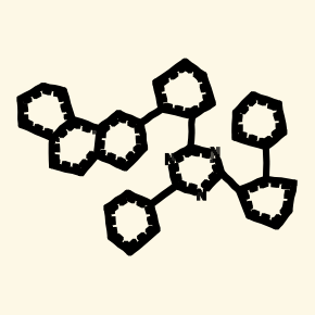 c1ccc(-c2nc(-c3ccccc3-c3ccccc3)nc(-c3ccccc3-c3ccc4ccc5ccccc5c4c3)n2)cc1